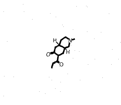 CCC(=O)C1C[C@H]2CN(C)CC[C@H]2CC1=O